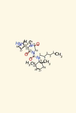 CCCCCCN(C(=O)N1CC(=O)N(C)C(c2cc[nH]c2)C1=O)C1=C(C)CC=CC1C